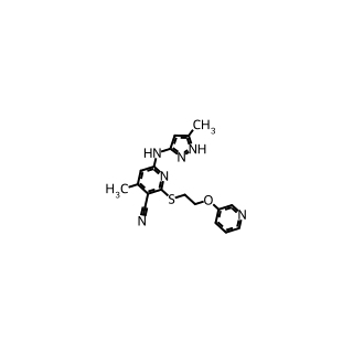 Cc1cc(Nc2cc(C)c(C#N)c(SCCOc3cccnc3)n2)n[nH]1